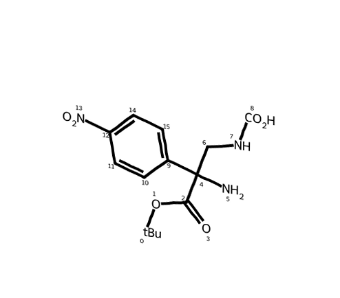 CC(C)(C)OC(=O)C(N)(CNC(=O)O)c1ccc([N+](=O)[O-])cc1